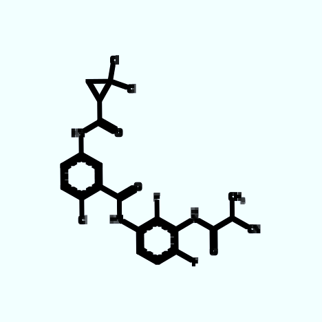 CC(C#N)C(=O)Nc1c(F)ccc(NC(=O)c2cc(NC(=O)C3CC3(Cl)Cl)ccc2Cl)c1F